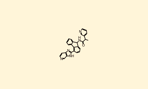 CC(C(=O)NC1c2ccccc2-c2c(-c3nc4ccncc4[nH]3)cccc21)c1cccnc1